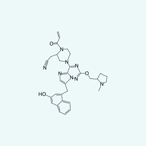 C=CC(=O)N1CCN(c2nc(OCC3CCCN3C)nn3c(Cc4cc(O)cc5ccccc45)cnc23)CC1CC#N